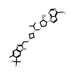 Cc1cc2nc(CC[C@H]3C[C@@H](N(C[C@@H]4C[C@@H](O)[C@H](n5ccc6c(N)ncnc65)C4)C(C)C)C3)[nH]c2cc1C(F)(F)F